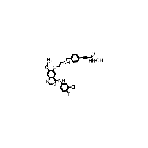 COc1cc2ncnc(Nc3ccc(F)c(Cl)c3)c2cc1OCCNCc1ccc(C#CC(=O)NO)cc1